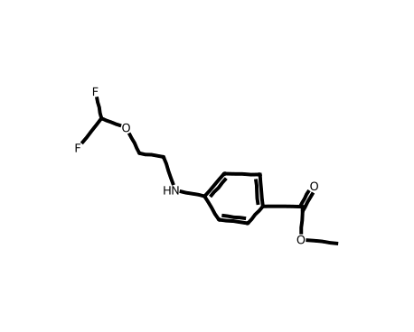 COC(=O)c1ccc(NCCOC(F)F)cc1